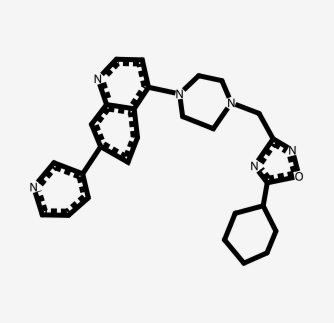 c1cncc(-c2ccc3c(N4CCN(Cc5noc(C6CCCCC6)n5)CC4)ccnc3c2)c1